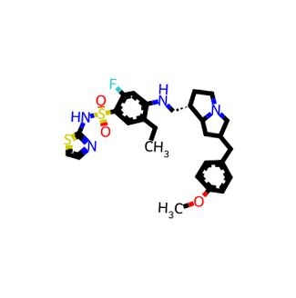 CCc1cc(S(=O)(=O)Nc2nccs2)c(F)cc1NC[C@@H]1CCN2CC(Cc3ccc(OC)cc3)CC12